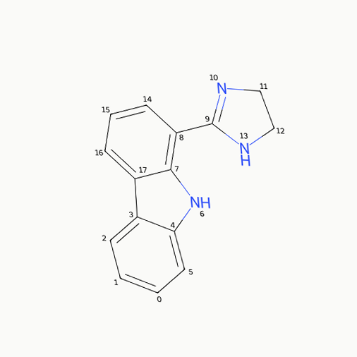 c1ccc2c(c1)[nH]c1c(C3=NCCN3)cccc12